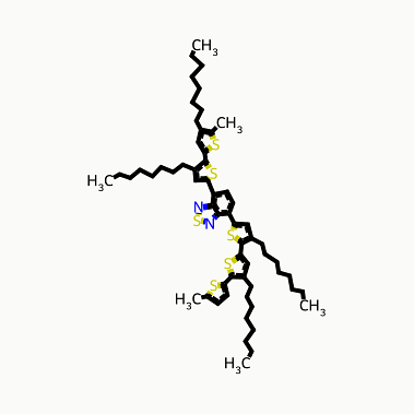 CCCCCCCCc1cc(-c2sc(-c3ccc(-c4cc(CCCCCCCC)c(-c5cc(CCCCCCCC)c(-c6ccc(C)s6)s5)s4)c4nsnc34)cc2CCCCCCCC)sc1C